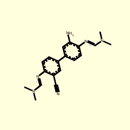 CN(C)/C=N/c1ccc(-c2ccc(/N=C/N(C)C)c(C#N)c2)cc1N